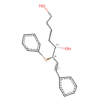 OCCCC[C@H](O)[C@@H](/C=C/c1ccccc1)Sc1ccccc1